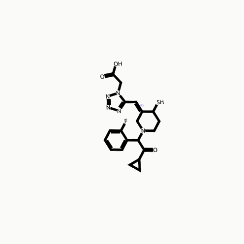 O=C(O)Cn1nnnc1/C=C1\CN(C(C(=O)C2CC2)c2ccccc2F)CCC1S